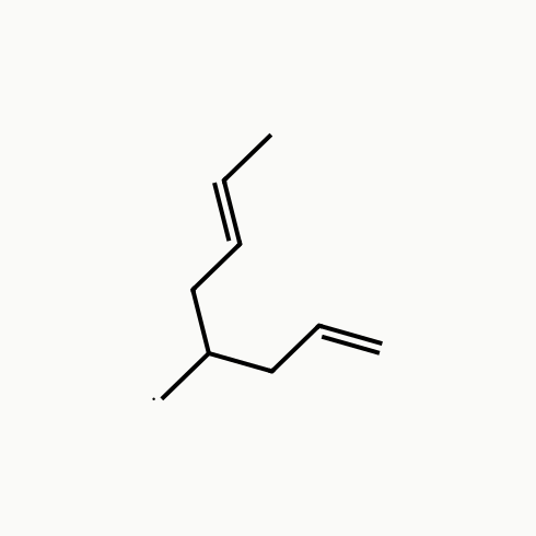 [CH2]C(CC=C)CC=CC